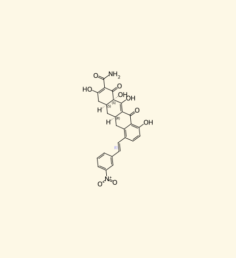 NC(=O)C1=C(O)C[C@@H]2C[C@@H]3Cc4c(/C=C/c5cccc([N+](=O)[O-])c5)ccc(O)c4C(=O)C3=C(O)[C@]2(O)C1=O